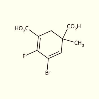 CC1(C(=O)O)C=C(Br)C(F)=C(C(=O)O)C1